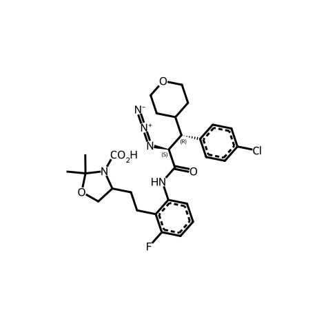 CC1(C)OCC(CCc2c(F)cccc2NC(=O)[C@@H](N=[N+]=[N-])[C@@H](c2ccc(Cl)cc2)C2CCOCC2)N1C(=O)O